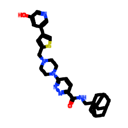 O=C(NCC12CC3CC(CC(C3)C1)C2)c1ccc(N2CCN(Cc3cc(-c4cncc(O)c4)cs3)CC2)nn1